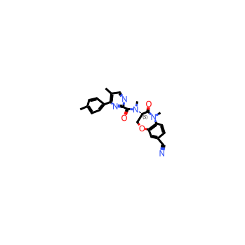 Cc1ccc(-c2nc(C(=O)N(C)[C@H]3COc4cc(C#N)ccc4N(C)C3=O)ncc2C)cc1